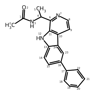 CC(=O)NC(C)c1nccc2c1[nH]c1ccc(-c3ccccc3)cc12